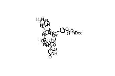 CCCCCCCCCCOC(=O)Oc1ccc(CSP2(=O)OC[C@H]3O[C@@H](n4ccc(=O)[nH]c4=O)[C@H](OP(=O)(O)OC[C@H]4O[C@@H](n5cnc6c(N)ncnc65)[C@H](F)[C@@H]4O2)[C@@H]3F)cc1